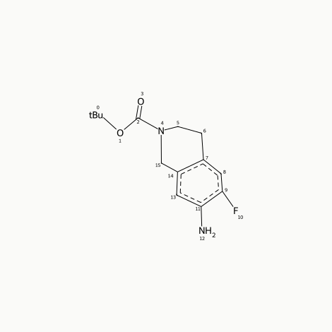 CC(C)(C)OC(=O)N1CCc2cc(F)c(N)cc2C1